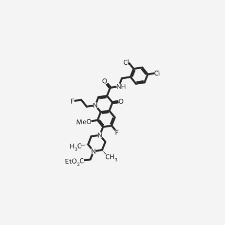 CCOC(=O)CN1[C@H](C)CN(c2c(F)cc3c(=O)c(C(=O)NCc4ccc(Cl)cc4Cl)cn(CCF)c3c2OC)C[C@@H]1C